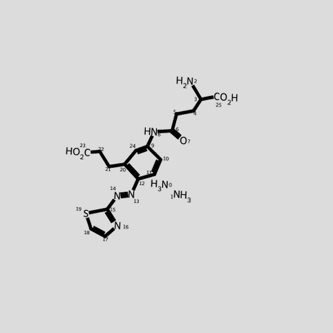 N.N.NC(CCC(=O)Nc1ccc(N=Nc2nccs2)c(CCC(=O)O)c1)C(=O)O